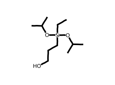 CC[Si](CCCO)(OC(C)C)OC(C)C